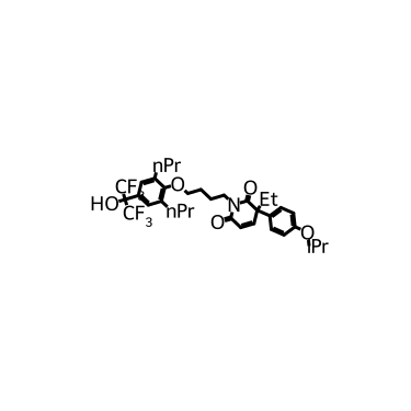 CCCc1cc(C(O)(C(F)(F)F)C(F)(F)F)cc(CCC)c1OCCCCN1C(=O)C=CC(CC)(c2ccc(OC(C)C)cc2)C1=O